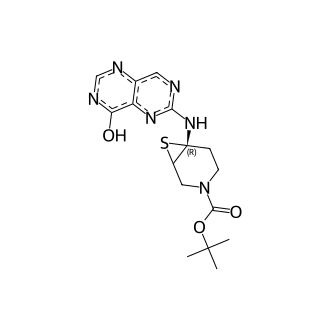 CC(C)(C)OC(=O)N1CC[C@@]2(Nc3ncc4ncnc(O)c4n3)SC2C1